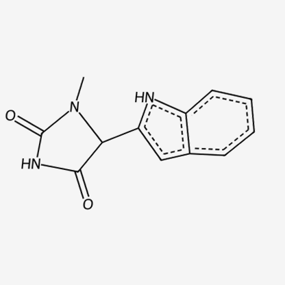 CN1C(=O)NC(=O)C1c1cc2ccccc2[nH]1